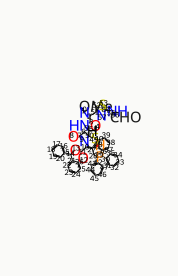 CON=C(C(=O)NC1C(=O)N2C(C(=O)OC(c3ccccc3)c3ccccc3)=C(C[PH](c3ccccc3)(c3ccccc3)c3ccccc3)CS[C@H]12)c1csc(NC=O)n1